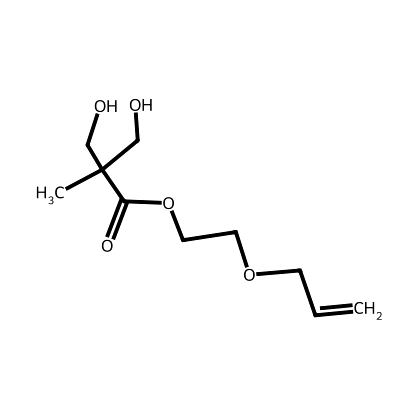 C=CCOCCOC(=O)C(C)(CO)CO